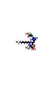 CCCCCCCC(=O)NC(Cc1c[nH]cn1)C(=O)NC(C)C(=O)O.O=C(O)C(F)(F)F